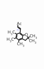 CC(=O)/C=C/c1c(C)c(C)c(C)c2c1OC(C)(C)C2